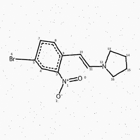 O=[N+]([O-])c1cc(Br)ccc1C=CN1CCCC1